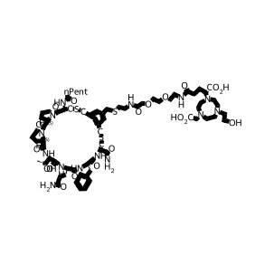 CCCCCC(=O)N[C@H]1CSCc2cc(CSCCNC(=O)COCCOCCNC(=O)CCC(C(=O)O)N3CCN(CCO)CCN(CC(=O)O)CC3)cc(c2)CSCC(C(N)=O)NC(=O)[C@H](Cc2ccccc2)NC(=O)[C@H](CCC(N)=O)NC(=O)[C@H]([C@@H](C)O)NC(=O)[C@@H]2CCCN2C(=O)[C@@H]2CCCN2C1=O